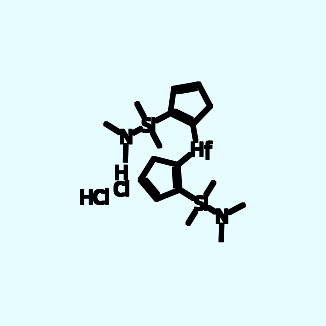 CN(C)[Si](C)(C)C1=[C]([Hf][C]2=C([Si](C)(C)N(C)C)C=CC2)CC=C1.Cl.Cl